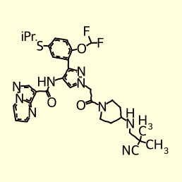 CC(C)Sc1ccc(OC(F)F)c(-c2nn(CC(=O)N3CCC(NCC(C)(C)C#N)CC3)cc2NC(=O)c2cnn3cccnc23)c1